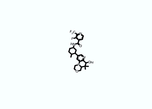 CC1CCC(NC(=O)c2ccnc(C(F)(F)F)c2F)CC1c1cnc2c(c1)N1CCOCC1C(C)(C)C2O